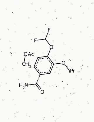 CC(C)Oc1cc(C(N)=O)ccc1OC(F)F.COC(C)=O